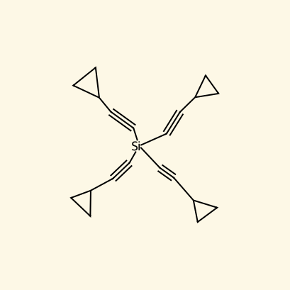 C(#C[Si](C#CC1CC1)(C#CC1CC1)C#CC1CC1)C1CC1